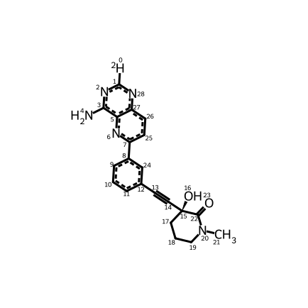 [2H]c1nc(N)c2nc(-c3cccc(C#C[C@@]4(O)CCCN(C)C4=O)c3)ccc2n1